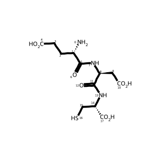 N[C@@H](CCC(=O)O)C(=O)N[C@@H](CC(=O)O)C(=O)N[C@@H](CS)C(=O)O